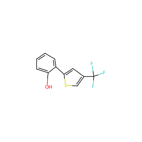 Oc1ccccc1-c1cc(C(F)(F)F)cs1